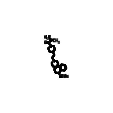 CC(=O)NC1CCC2(CCN(CCC3CCN(C(=O)N(C)C)CC3)CC2)c2ccccc21